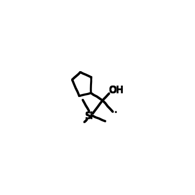 [CH2]C(O)(C1CCCC1)[Si](C)(C)C